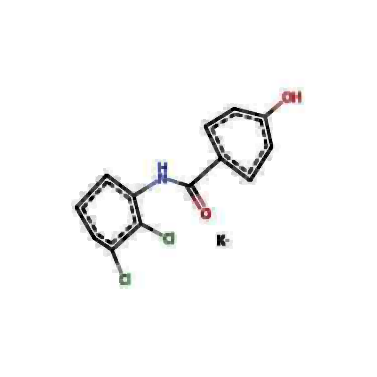 O=C(Nc1cccc(Cl)c1Cl)c1ccc(O)cc1.[K]